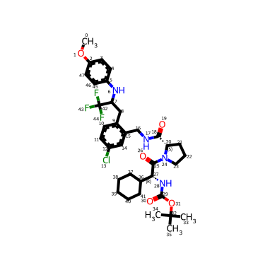 COc1ccc(NC(Cc2ccc(Cl)cc2CNC(=O)[C@@H]2CCCN2C(=O)[C@H](NC(=O)OC(C)(C)C)C2CCCCC2)C(F)(F)F)cc1